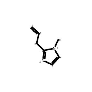 C=CCc1nccn1C